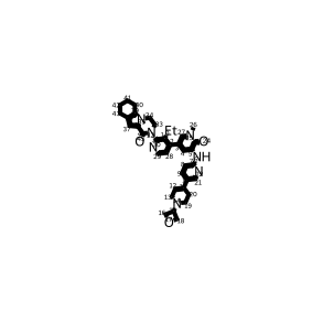 CCc1c(-c2cc(Nc3ccc(C4=CCN(C5COC5)CC4)cn3)c(=O)n(C)c2)ccnc1N1CCn2c(cc3c2CCCC3)C1=O